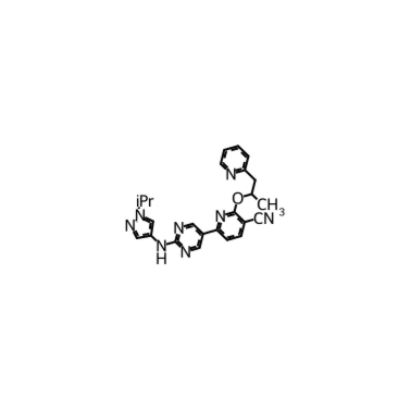 CC(Cc1ccccn1)Oc1nc(-c2cnc(Nc3cnn(C(C)C)c3)nc2)ccc1C#N